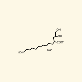 CCCCCCCCCCCCCCCCCCCCC(CC(O)CO)C(=O)[O-].[Na+]